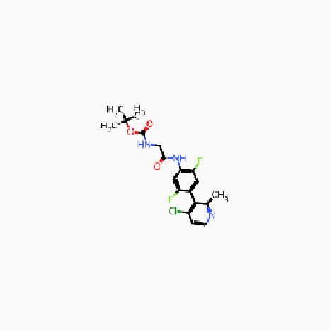 Cc1nccc(Cl)c1-c1cc(F)c(NC(=O)CNC(=O)OC(C)(C)C)cc1F